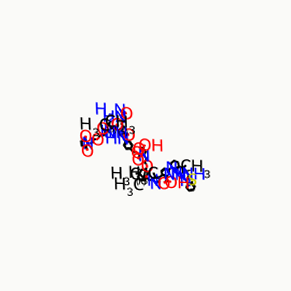 Cc1c(Nc2nc3ccccc3s2)nnc2c1CCCN2c1ccc(-c2cnn(CC34CC5(C)CC(OCCN(CC(=O)O)C(=O)OCc6ccc(NC(=O)[C@H](CCCNC(N)=O)NC(=O)[C@@H](NC(=O)CCOCCN7C(=O)C=CC7=O)C(C)C)cc6)(C3)C[C@](C)(C5)C4)c2C)c(C(=O)O)n1